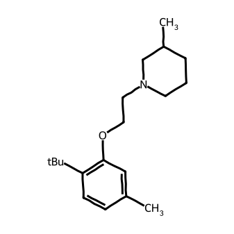 Cc1ccc(C(C)(C)C)c(OCCN2CCCC(C)C2)c1